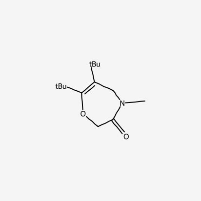 CN1CC(C(C)(C)C)=C(C(C)(C)C)OCC1=O